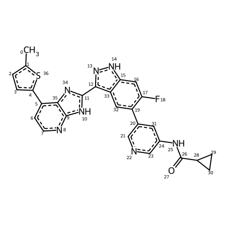 Cc1ccc(-c2ccnc3[nH]c(-c4n[nH]c5cc(F)c(-c6cncc(NC(=O)C7CC7)c6)cc45)nc23)s1